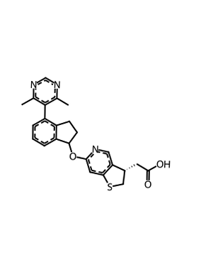 Cc1ncnc(C)c1-c1cccc2c1CCC2Oc1cc2c(cn1)[C@H](CC(=O)O)CS2